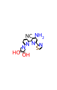 N#Cc1c(N)cc(-c2nccs2)nc1-c1cccc(N2C[C@H](O)[C@@H](O)C2)n1